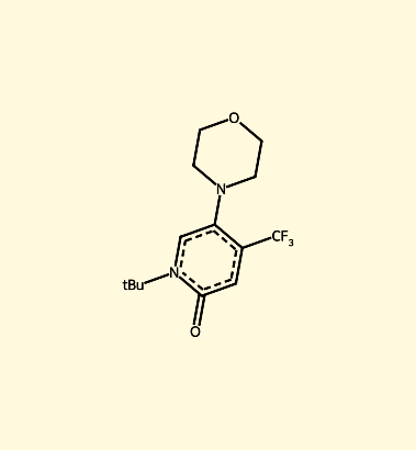 CC(C)(C)n1cc(N2CCOCC2)c(C(F)(F)F)cc1=O